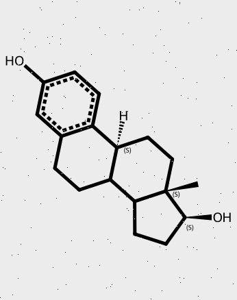 C[C@]12CC[C@@H]3c4ccc(O)cc4CCC3C1CC[C@@H]2O